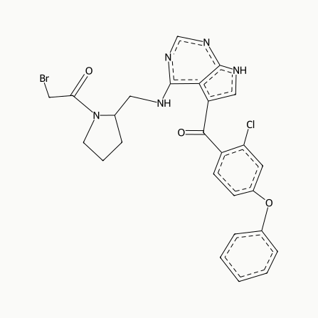 O=C(c1ccc(Oc2ccccc2)cc1Cl)c1c[nH]c2ncnc(NCC3CCCN3C(=O)CBr)c12